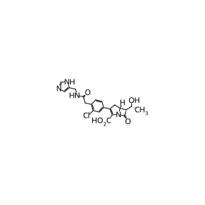 C[C@@H](O)[C@H]1C(=O)N2C(C(=O)O)=C(c3ccc(CC(=O)NCc4cnc[nH]4)c(Cl)c3)C[C@H]12